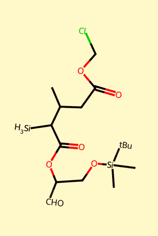 CC(CC(=O)OCCl)C([SiH3])C(=O)OC(C=O)CO[Si](C)(C)C(C)(C)C